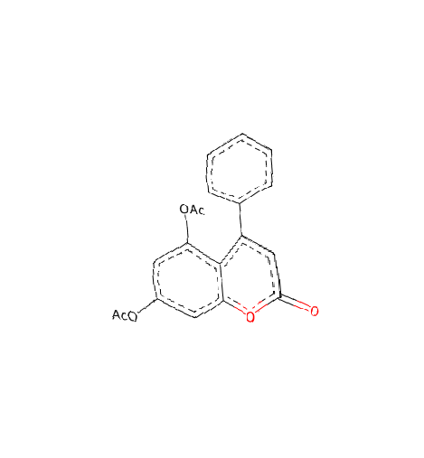 CC(=O)Oc1cc(OC(C)=O)c2c(-c3ccccc3)cc(=O)oc2c1